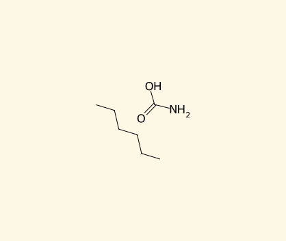 CCCCCC.NC(=O)O